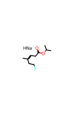 CC(=CCC(=O)OC(C)C)CCF.[NaH]